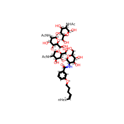 CCCCCC/C=C\CCCOc1cccc(C(=O)NC2C(O)[C@H](O)C(CO)O[C@H]2O[C@@H]2C(CO)O[C@@H](O[C@@H]3C(CO)O[C@@H](O[C@@H]4C(CO)O[C@@H](O)C(NC(C)=O)C4O)C(NC(C)=O)[C@H]3O)C(NC(C)=O)C2O)c1